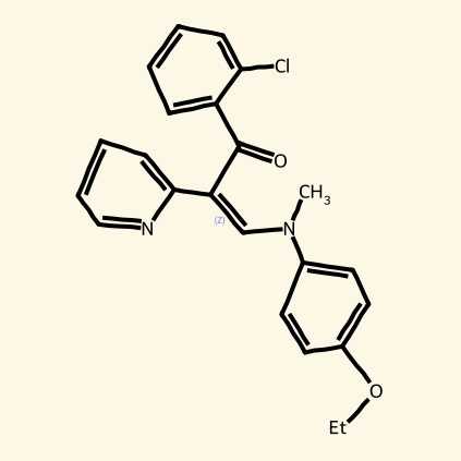 CCOc1ccc(N(C)/C=C(\C(=O)c2ccccc2Cl)c2ccccn2)cc1